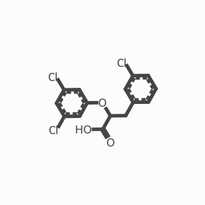 O=C(O)C(Cc1cccc(Cl)c1)Oc1cc(Cl)cc(Cl)c1